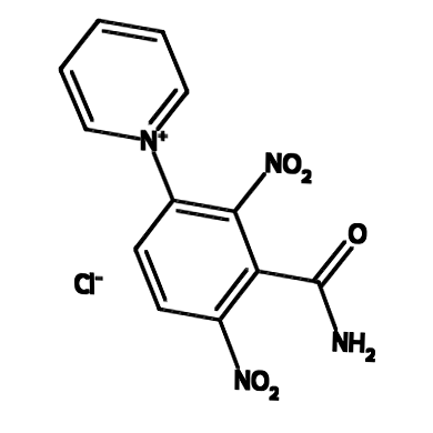 NC(=O)c1c([N+](=O)[O-])ccc(-[n+]2ccccc2)c1[N+](=O)[O-].[Cl-]